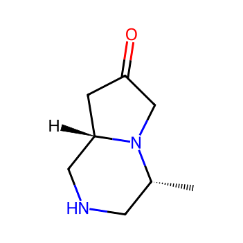 C[C@@H]1CNC[C@@H]2CC(=O)CN21